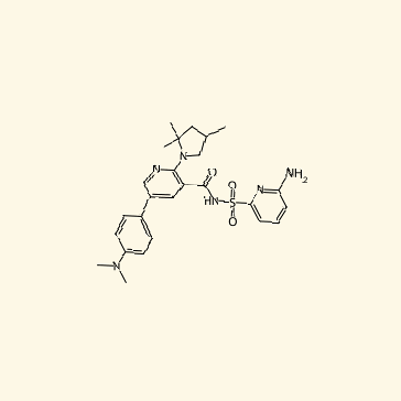 CC1CN(c2ncc(-c3ccc(N(C)C)cc3)cc2C(=O)NS(=O)(=O)c2cccc(N)n2)C(C)(C)C1